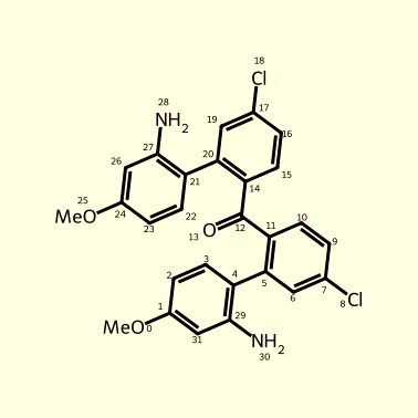 COc1ccc(-c2cc(Cl)ccc2C(=O)c2ccc(Cl)cc2-c2ccc(OC)cc2N)c(N)c1